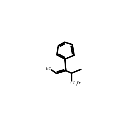 CCOC(=O)C(C)/C(=C/C#N)c1ccccc1